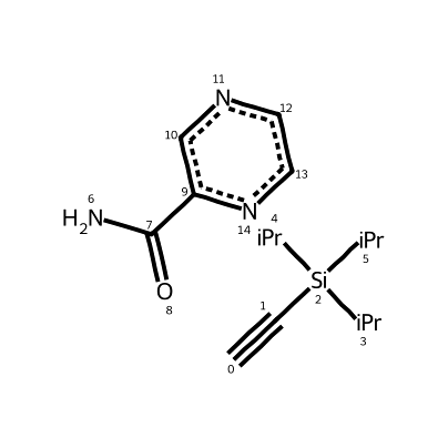 C#C[Si](C(C)C)(C(C)C)C(C)C.NC(=O)c1cnccn1